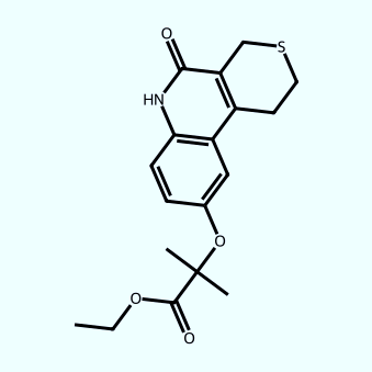 CCOC(=O)C(C)(C)Oc1ccc2[nH]c(=O)c3c(c2c1)CCSC3